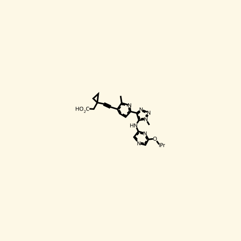 Cc1nc(-c2nnn(C)c2Nc2cncc(OC(C)C)n2)ccc1C#CC1(CC(=O)O)CC1